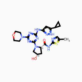 Cc1cnc(NC(=O)[C@@H]2C[C@H](O)CN2c2nc(Nc3cc(C4CC4)[nH]n3)nc(N3CCOCC3)n2)s1